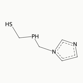 SCPCn1ccnc1